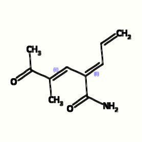 C=C/C=C(\C=C(/C)C(C)=O)C(N)=O